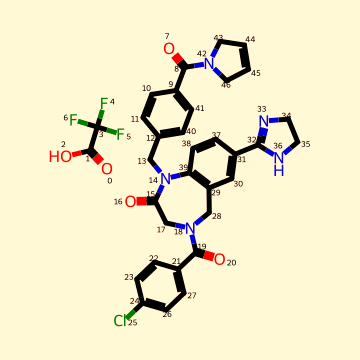 O=C(O)C(F)(F)F.O=C(c1ccc(CN2C(=O)CN(C(=O)c3ccc(Cl)cc3)Cc3cc(C4=NCCN4)ccc32)cc1)N1CC=CC1